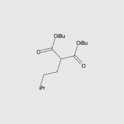 CC(C)CCC(C(=O)OCC(C)C)C(=O)OCC(C)C